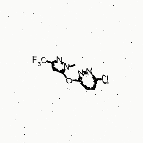 Cn1nc(C(F)(F)F)cc1Oc1ccc(Cl)nn1